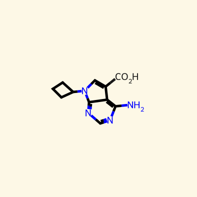 Nc1ncnc2c1c(C(=O)O)cn2C1CCC1